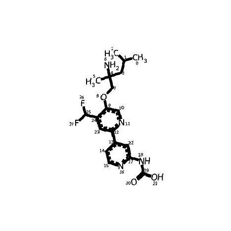 CC(C)CC(C)(N)COc1cnc(-c2ccnc(NC(=O)O)c2)cc1C(F)F